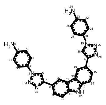 Nc1ccc(-n2cc(-c3ccc4[nH]c5ccc(-c6cn(-c7ccc(N)cc7)nn6)cc5c4c3)nn2)cc1